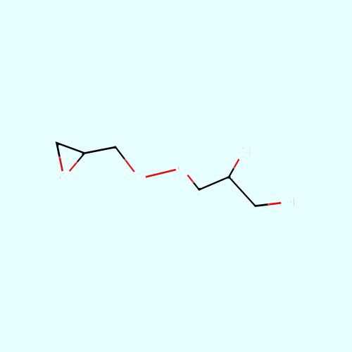 OCC(O)COOCC1CO1